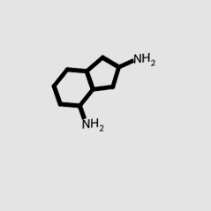 NC1CC2CCCC(N)C2C1